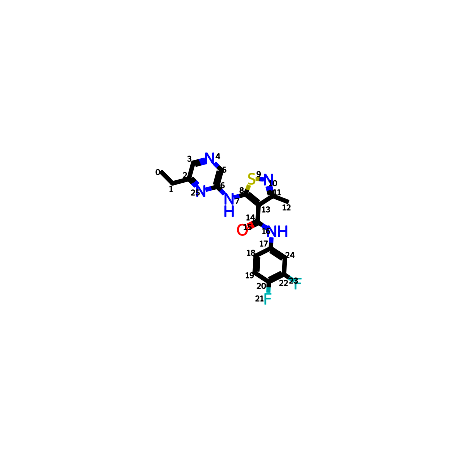 CCc1cncc(Nc2snc(C)c2C(=O)Nc2ccc(F)c(F)c2)n1